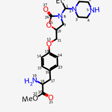 CCC(N1CCNCC1)N1CC(COc2ccc(CC(N)C(=O)OC)cc2)OC1=O